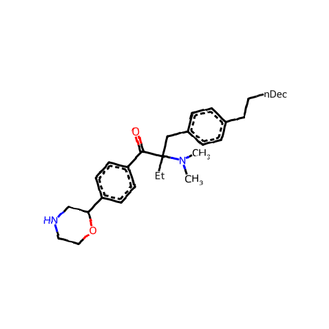 CCCCCCCCCCCCc1ccc(CC(CC)(C(=O)c2ccc(C3CNCCO3)cc2)N(C)C)cc1